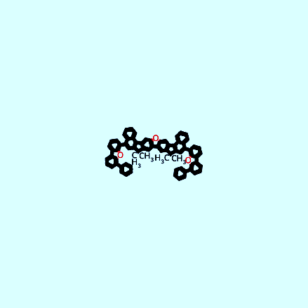 CC1(C)c2cc3c(cc2-c2c1cc(-c1cccc4c1oc1c(-c5ccccc5)cccc14)c1ccccc21)oc1cc2c(cc13)C(C)(C)c1cc(-c3cccc4c3oc3c(-c5ccccc5)cccc34)c3ccccc3c1-2